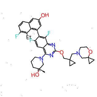 CCc1c(F)ccc2cc(O)cc(-c3c(F)cc4c(N5CCC[C@@](C)(O)C5)nc(OCC5(CN6CCOC7(CC7)C6)CC5)nc4c3F)c12